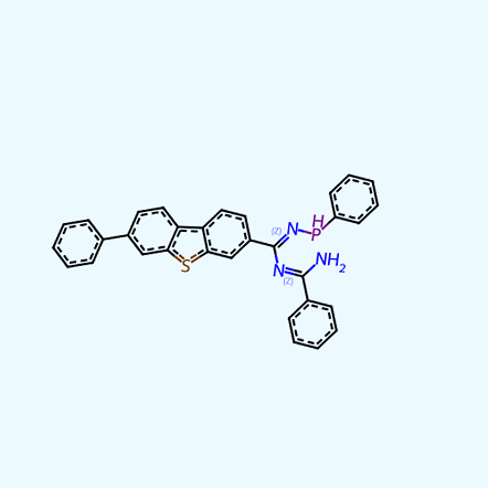 N/C(=N\C(=N/Pc1ccccc1)c1ccc2c(c1)sc1cc(-c3ccccc3)ccc12)c1ccccc1